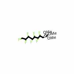 CO[Si](CC(F)C(F)C(F)C(F)C(F)C(F)CF)(OC)OC